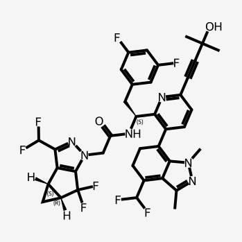 Cc1nn(C)c2c1=C(C(F)F)CCC=2c1ccc(C#CC(C)(C)O)nc1[C@H](Cc1cc(F)cc(F)c1)NC(=O)Cn1nc(C(F)F)c2c1C(F)(F)[C@@H]1C[C@H]21